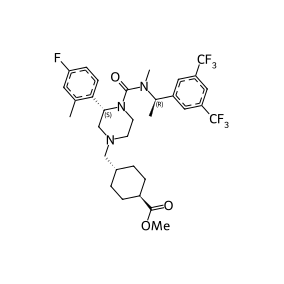 COC(=O)[C@H]1CC[C@H](CN2CCN(C(=O)N(C)[C@H](C)c3cc(C(F)(F)F)cc(C(F)(F)F)c3)[C@@H](c3ccc(F)cc3C)C2)CC1